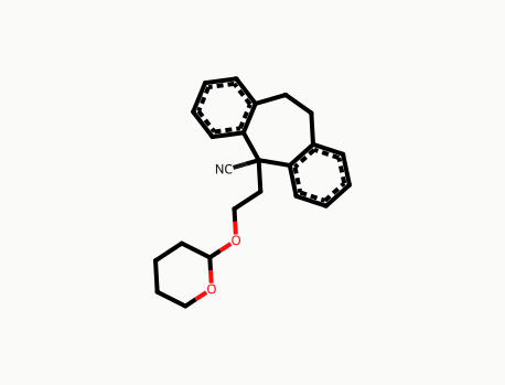 N#CC1(CCOC2CCCCO2)c2ccccc2CCc2ccccc21